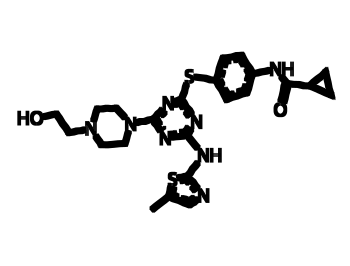 Cc1cnc(Nc2nc(Sc3ccc(NC(=O)C4CC4)cc3)nc(N3CCN(CCO)CC3)n2)s1